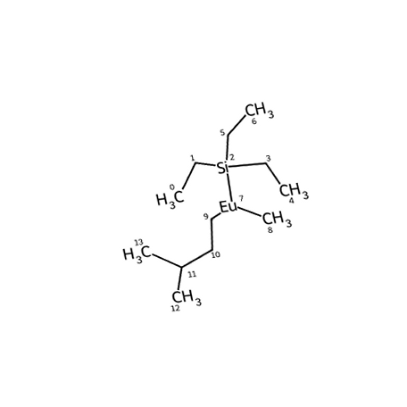 CC[Si](CC)(CC)[Eu]([CH3])[CH2]CC(C)C